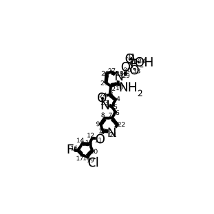 Nc1c(-c2cc(Cc3ccc(OCc4cc(F)cc(Cl)c4)nc3)no2)ccc[n+]1COP(=O)([O-])O